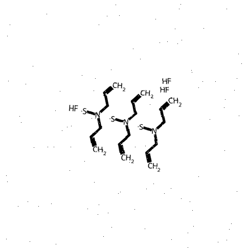 C=CCN([S])CC=C.C=CCN([S])CC=C.C=CCN([S])CC=C.F.F.F